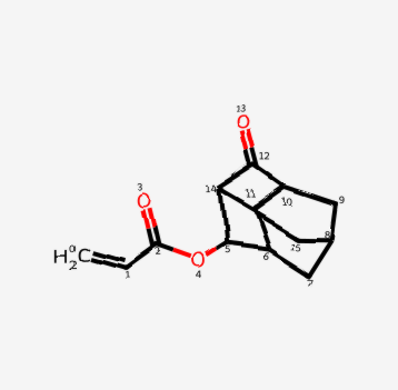 C=CC(=O)OC1C2CC3CC(C2)C(=O)C1C3